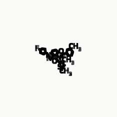 Cc1cccc([C@@H](Oc2ccc3c(cnn3-c3ccc(F)cc3)c2)[C@H](C)NC(=O)c2ncc(C)s2)c1